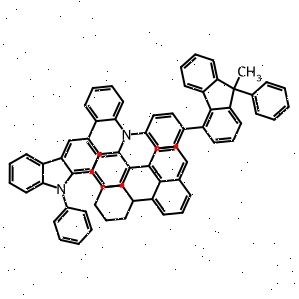 CC1(c2ccccc2)c2ccccc2-c2c(-c3ccc(N(c4ccccc4-c4ccc5c(c4)c4ccccc4n5-c4ccccc4)c4ccccc4-c4cccc5cccc(C6CCCCC6)c45)cc3)cccc21